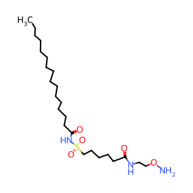 CCCCCCCCCCCCCCCC(=O)NS(=O)(=O)CCCCCC(=O)NCCON